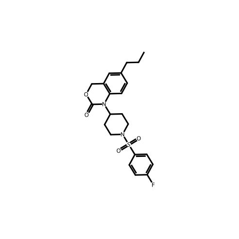 CCCc1ccc2c(c1)COC(=O)N2C1CCN(S(=O)(=O)c2ccc(F)cc2)CC1